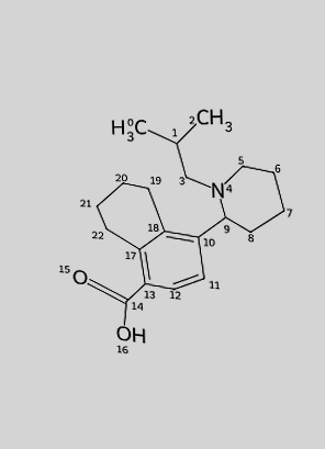 CC(C)CN1CCCCC1c1ccc(C(=O)O)c2c1CCCC2